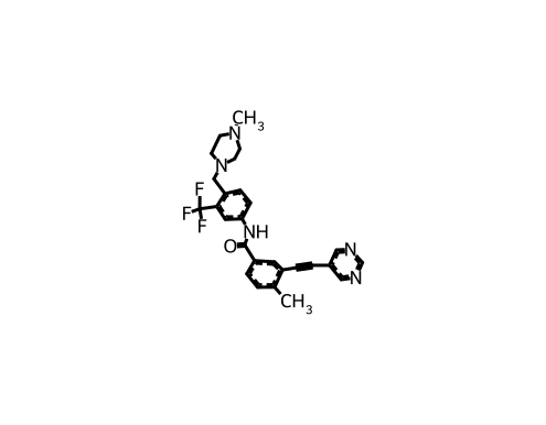 Cc1ccc(C(=O)Nc2ccc(CN3CCN(C)CC3)c(C(F)(F)F)c2)cc1C#Cc1cncnc1